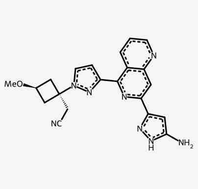 CO[C@H]1C[C@@](CC#N)(n2ccc(-c3nc(-c4cc(N)[nH]n4)cc4ncccc34)n2)C1